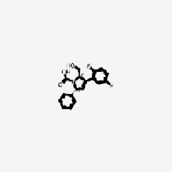 O=C(O)N1[C@@H](c2ccccc2)C=C(c2cc(F)ccc2F)[C@@H]1CO